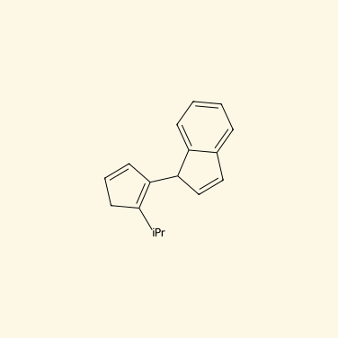 CC(C)C1=C(C2C=Cc3ccccc32)C=CC1